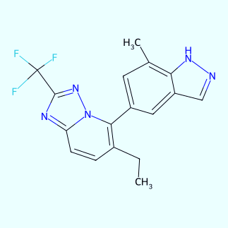 CCc1ccc2nc(C(F)(F)F)nn2c1-c1cc(C)c2[nH]ncc2c1